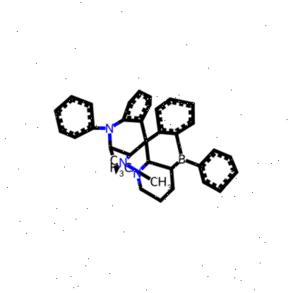 CN1CCCC2B(c3ccccc3)c3ccccc3C3(c4ccccc4N(c4ccccc4)C4CCCN(C)C43)C21